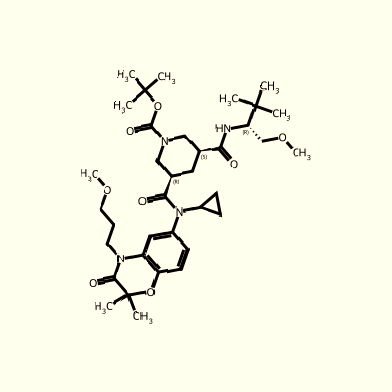 COCCCN1C(=O)C(C)(C)Oc2ccc(N(C(=O)[C@@H]3C[C@H](C(=O)N[C@@H](COC)C(C)(C)C)CN(C(=O)OC(C)(C)C)C3)C3CC3)cc21